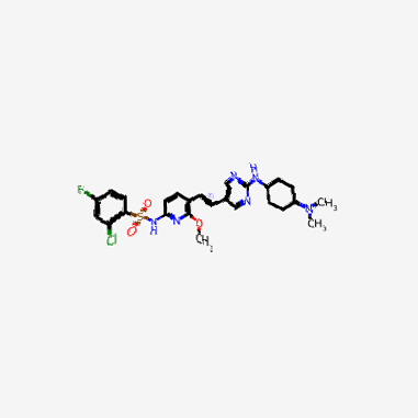 COc1nc(NS(=O)(=O)c2ccc(F)cc2Cl)ccc1/C=C/c1cnc(NC2CCC(N(C)C)CC2)nc1